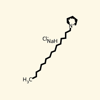 CCCCCCCCCCCCCCCC[n+]1ccccc1.[Cl-].[NaH]